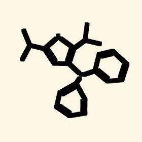 CC(C)c1cc(P(c2ccccc2)c2ccccc2)c(C(C)C)s1